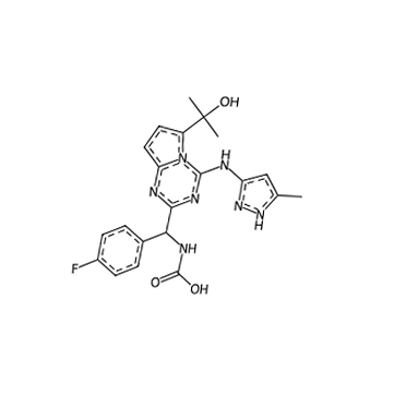 Cc1cc(Nc2nc(C(NC(=O)O)c3ccc(F)cc3)nc3ccc(C(C)(C)O)n23)n[nH]1